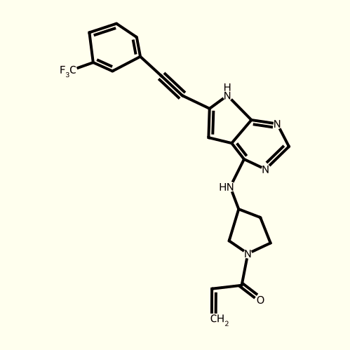 C=CC(=O)N1CCC(Nc2ncnc3[nH]c(C#Cc4cccc(C(F)(F)F)c4)cc23)C1